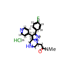 CNC(=O)CC1CNCc2c(-c3ccncc3)c(-c3ccc(F)cc3)nn21.Cl